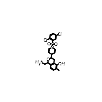 Cc1ccc2c(c1O)CC(C1CCN(S(=O)(=O)c3cc(Cl)ccc3Cl)CC1)OC2CN